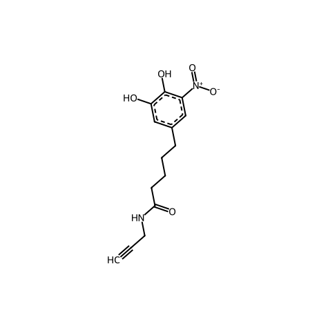 C#CCNC(=O)CCCCc1cc(O)c(O)c([N+](=O)[O-])c1